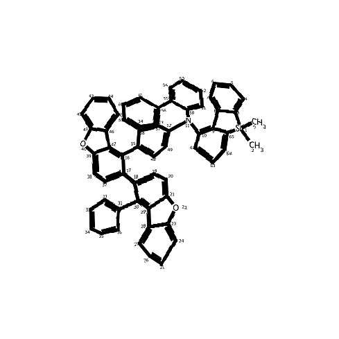 C[Si]1(C)c2ccccc2-c2c(N(c3ccc(-c4c(-c5ccc6oc7ccccc7c6c5-c5ccccc5)ccc5oc6ccccc6c45)cc3)c3ccccc3-c3ccccc3)cccc21